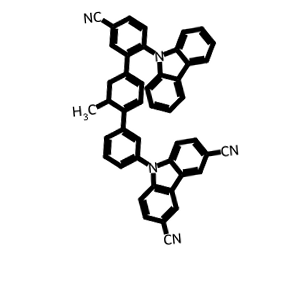 CC1CC(c2cc(C#N)ccc2-n2c3ccccc3c3ccccc32)=CC=C1c1cccc(-n2c3ccc(C#N)cc3c3cc(C#N)ccc32)c1